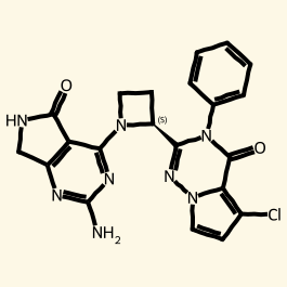 Nc1nc2c(c(N3CC[C@H]3c3nn4ccc(Cl)c4c(=O)n3-c3ccccc3)n1)C(=O)NC2